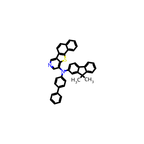 CC1(C)c2ccccc2-c2ccc(N(c3ccc(-c4ccccc4)cc3)c3cncc4c3sc3c5ccccc5ccc43)cc21